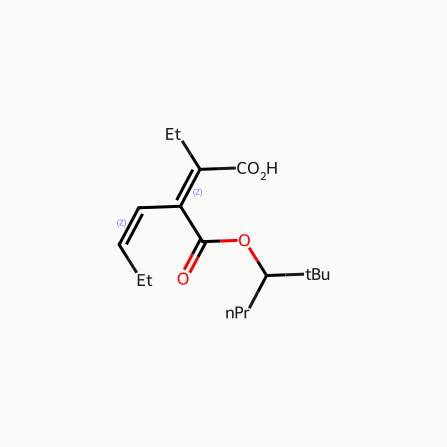 CC/C=C\C(C(=O)OC(CCC)C(C)(C)C)=C(/CC)C(=O)O